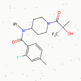 Cc1ccc(C(=O)N(C(C)C)C2CCN(C(=O)[C@@](C)(O)C(F)(F)F)CC2)c(F)c1